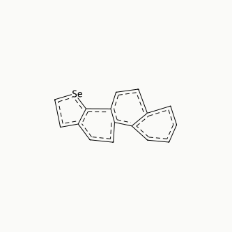 c1ccc2c(c1)ccc1c2ccc2cc[se]c21